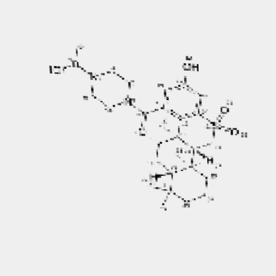 CB(O)N1CCN(C(=O)c2cc(O)cc3c2[C@]2(C)CC[C@H]4C(C)(C)CCC[C@]4(C)[C@H]2CS3(=O)=O)CC1